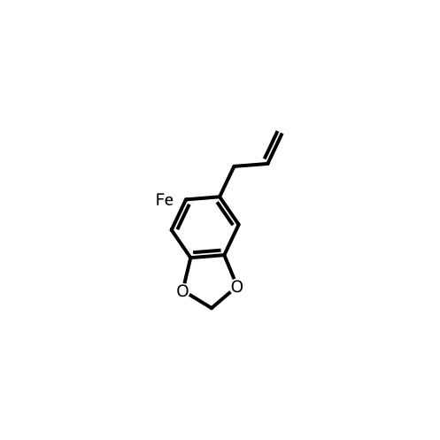 C=CCc1ccc2c(c1)OCO2.[Fe]